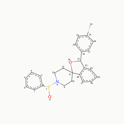 [O-][S+](c1ccccc1)N1CCC2(CC1)OC(c1ccc(F)cc1)c1ccccc12